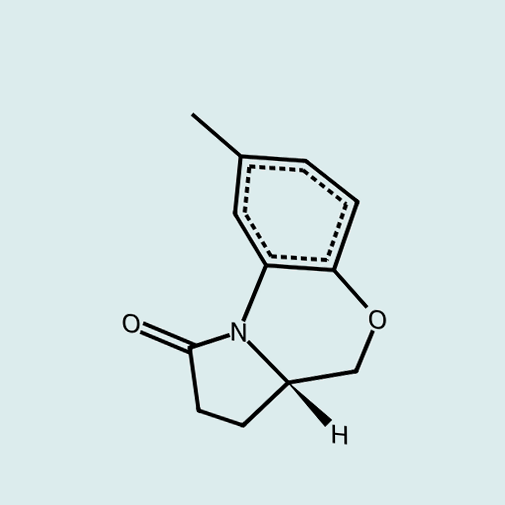 Cc1ccc2c(c1)N1C(=O)CC[C@H]1CO2